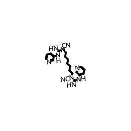 N#CN(CCCCCCCN(C#N)C(=N)Nc1cccnc1)C(=N)Nc1cccnc1